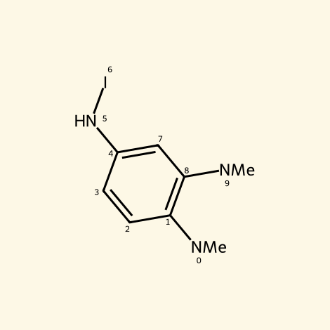 CNc1ccc(NI)cc1NC